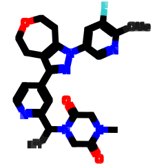 CCCC(c1cc(-c2nn(-c3cnc(OC)c(F)c3)c3c2CCOCC3)ccn1)N1CC(=O)N(C)CC1=O